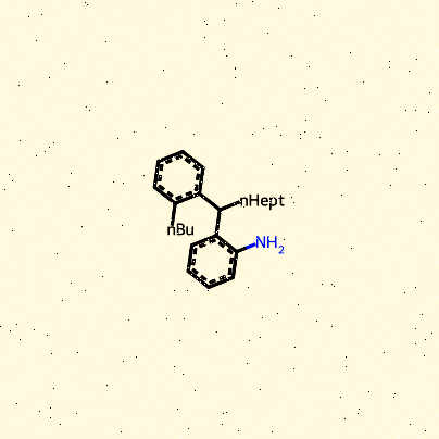 CCCCCCCC(c1ccccc1N)c1ccccc1CCCC